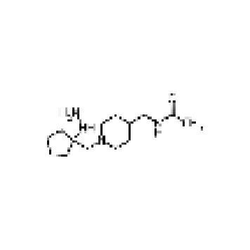 CC(=O)NCC1CCN(CC2(NN)CCCC2)CC1